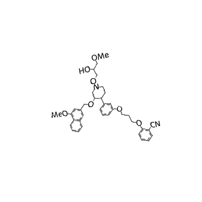 COCC(O)CON1CCC(c2cccc(OCCCOc3ccccc3C#N)c2)C(OCc2cc(OC)c3ccccc3c2)C1